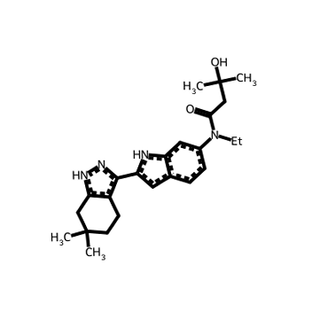 CCN(C(=O)CC(C)(C)O)c1ccc2cc(-c3n[nH]c4c3CCC(C)(C)C4)[nH]c2c1